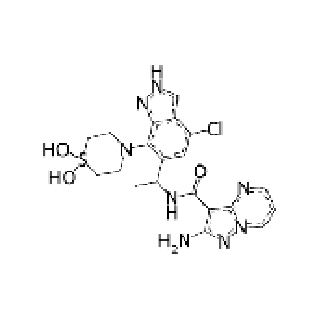 CC(NC(=O)c1c(N)nn2cccnc12)c1cc(Cl)c2c[nH]nc2c1N1CCS(O)(O)CC1